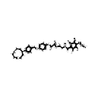 [N-]=[N+]=Nc1c(F)c(F)c(C(=O)NCCCC(N)C(=O)Oc2ccc(OCc3ccc(C4CCCCCCCC4)cc3)cc2)c(F)c1F